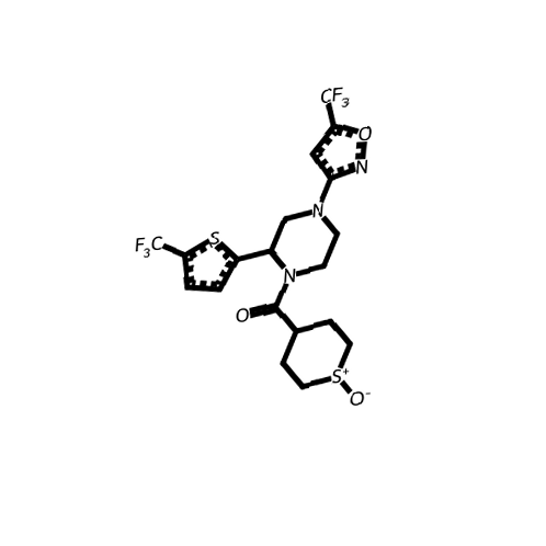 O=C(C1CC[S+]([O-])CC1)N1CCN(c2cc(C(F)(F)F)on2)CC1c1ccc(C(F)(F)F)s1